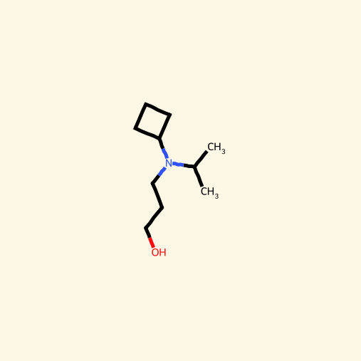 CC(C)N(CCCO)C1CCC1